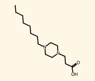 CCCCCCCCN1CCN(CCC(=O)O)CC1